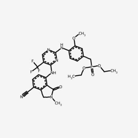 CCOP(=O)(Cc1ccc(Nc2ncc(C(F)(F)F)c(Nc3ccc(C#N)c4c3C(=O)N(C)C4)n2)c(OC)c1)OCC